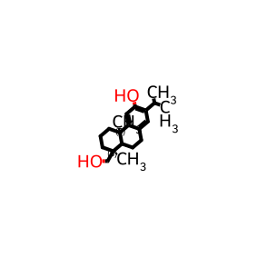 CC(C)c1cc2c(cc1O)[C@@]1(C)CCC[C@](C)(CO)C1CC2